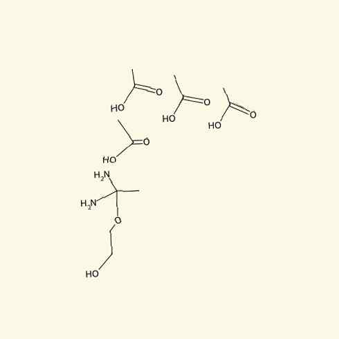 CC(=O)O.CC(=O)O.CC(=O)O.CC(=O)O.CC(N)(N)OCCO